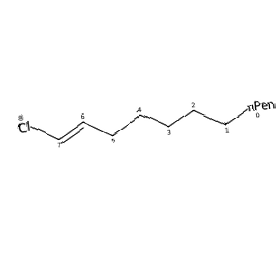 CCCCCCCCCCC=CCl